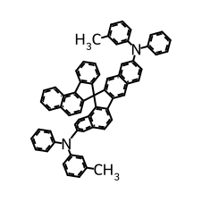 Cc1cccc(N(c2ccccc2)c2ccc3cc4c(cc3c2)C2(c3ccccc3-c3c2ccc2ccccc32)c2c-4ccc3cc(N(c4ccccc4)c4cccc(C)c4)ccc23)c1